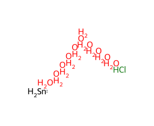 Cl.O.O.O.O.O.O.O.O.O.O.[SnH2]